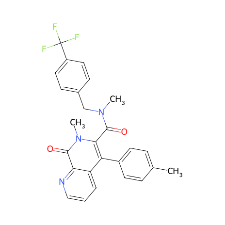 Cc1ccc(-c2c(C(=O)N(C)Cc3ccc(C(F)(F)F)cc3)n(C)c(=O)c3ncccc23)cc1